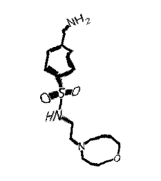 NCc1ccc(S(=O)(=O)NCCN2CCOCC2)cc1